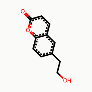 O=c1ccc2cc(CCO)ccc2o1